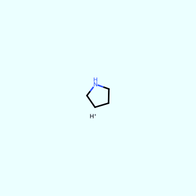 C1CCNC1.[H+]